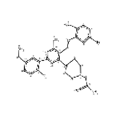 Cc1ccc(C(C)C)cc1OCc1c(C)nc(-c2cc(CN)ccc2F)nc1N1CCN(CC(N)=O)CC1